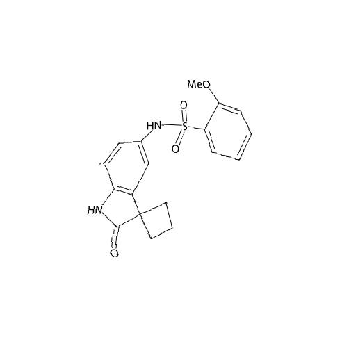 COc1ccccc1S(=O)(=O)Nc1c[c]c2c(c1)C1(CCC1)C(=O)N2